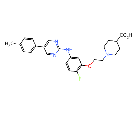 Cc1ccc(-c2cnc(Nc3ccc(F)c(OCCN4CCC(C(=O)O)CC4)c3)nc2)cc1